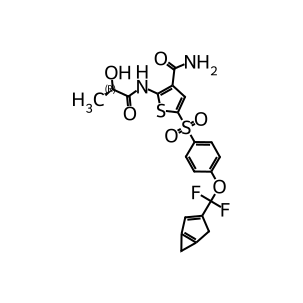 C[C@@H](O)C(=O)Nc1sc(S(=O)(=O)c2ccc(OC(F)(F)C3=CC4=C(C3)C4)cc2)cc1C(N)=O